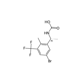 Cc1c([C@@H](C)NC(=O)O)cc(Br)cc1C(F)(F)F